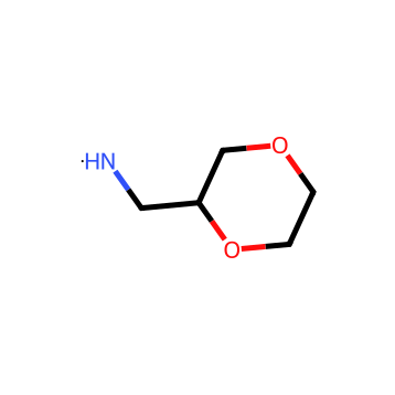 [NH]CC1COCCO1